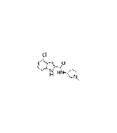 CN1CC[C@H](NC(=O)c2cc3c(Cl)cccc3[nH]2)C1